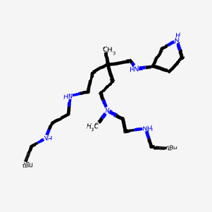 CN(CCNCC(C)(C)C)CCC(C)(CCNCCNCC(C)(C)C)CNC1CCNC1